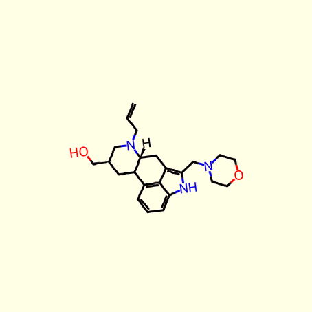 C=CCN1C[C@H](CO)CC2c3cccc4[nH]c(CN5CCOCC5)c(c34)C[C@H]21